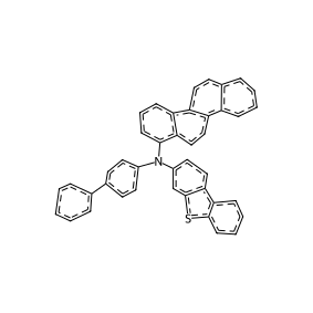 c1ccc(-c2ccc(N(c3ccc4c(c3)sc3ccccc34)c3cccc4c3ccc3c5ccccc5ccc43)cc2)cc1